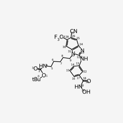 CC(C)(C)OC(=O)NCCCCCn1c(Nc2cccc(C(=O)NO)c2)nc2cc(C#N)c(C(F)(F)F)cc21